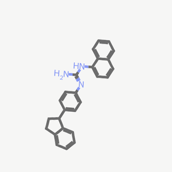 NC(=Nc1ccc(C2CCc3ccccc32)cc1)Nc1cccc2ccccc12